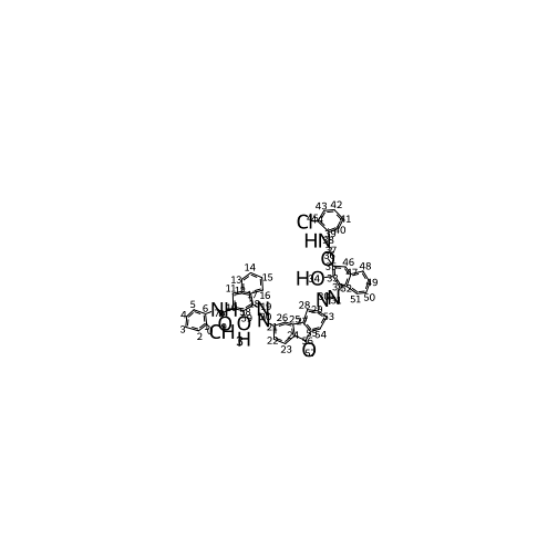 Cc1ccccc1NC(=O)c1cc2ccccc2c(N=Nc2ccc3c(c2)-c2cc(N=Nc4c(O)c(OCNc5ccccc5Cl)cc5ccccc45)ccc2C3=O)c1O